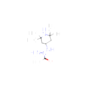 CC(=O)N(N)NC1CC(C)(C)NC(C)(C)C1